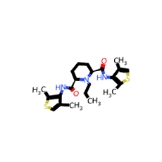 CCCN1[C@@H](C(=O)Nc2c(C)csc2C)CCC[C@H]1C(=O)Nc1c(C)csc1C